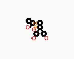 COc1ccc(-c2cc3ccccc3c([PH](=O)c3ccc4ccccc4c3C=O)c2-c2ccc(OC)cc2)cc1